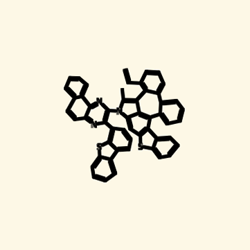 C=Cc1cccc2c1-c1c(C)n(-c3nc4c(ccc5ccccc54)nc3-c3cccc4c3sc3ccccc34)c3cc4sc5ccccc5c4c(c13)-c1ccccc1-2